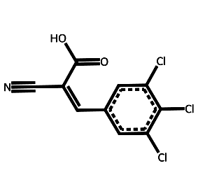 N#CC(=Cc1cc(Cl)c(Cl)c(Cl)c1)C(=O)O